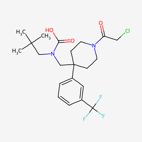 CC(C)(C)CN(CC1(c2cccc(C(F)(F)F)c2)CCN(C(=O)CCl)CC1)C(=O)O